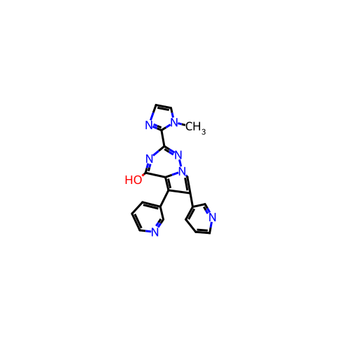 Cn1ccnc1-c1nc(O)c2c(-c3cccnc3)c(-c3cccnc3)cn2n1